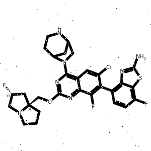 Nc1nc2c(-c3c(Cl)cc4c(N5CC6CC5CCN6)nc(OC[C@@]56CCCN5C[C@H](F)C6)nc4c3F)ccc(F)c2s1